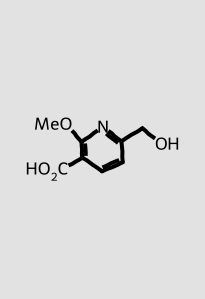 COc1nc(CO)ccc1C(=O)O